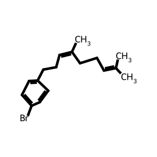 CC(C)=CCCC(C)=CCCc1ccc(Br)cc1